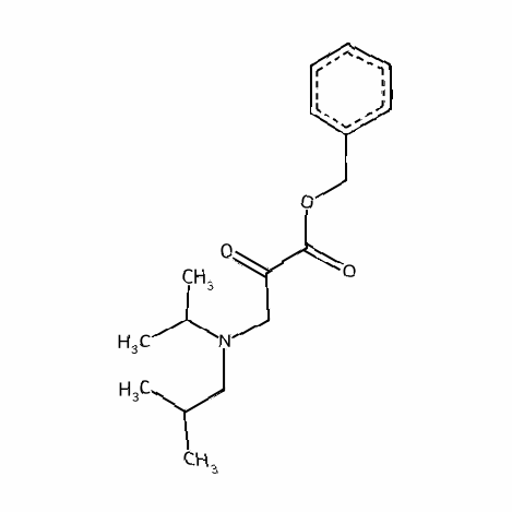 CC(C)CN(CC(=O)C(=O)OCc1ccccc1)C(C)C